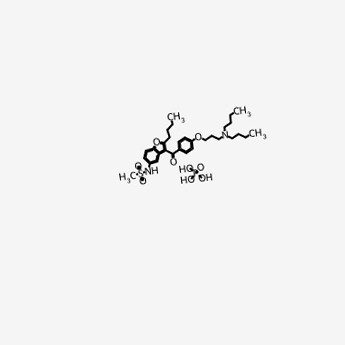 CCCCc1oc2ccc(NS(C)(=O)=O)cc2c1C(=O)c1ccc(OCCCN(CCCC)CCCC)cc1.O=P(O)(O)O